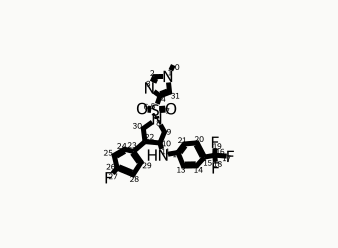 Cn1cnc(S(=O)(=O)N2CC(Nc3ccc(C(F)(F)F)cc3)C(c3ccc(F)cc3)C2)c1